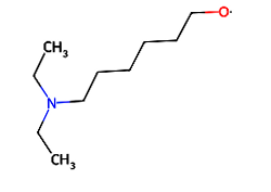 CCN(CC)CCCCCC[O]